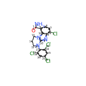 NC(=O)c1ccc(Cl)c2nc3n(c12)CCCN3c1c(Cl)cc(Cl)cc1Cl